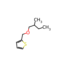 CCC(C)COCc1cccs1